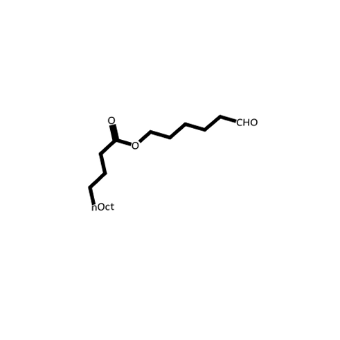 CCCCCCCCCCCC(=O)OCCCCCC=O